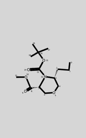 CCC[C@@H]1COC[C@H](C(=O)OC)N1C(=O)OC(C)(C)C